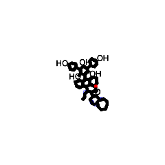 C=C/C=C(\c1c(C)oc(C2=C/CCCC/C=C\2)c1/C=C\C)c1c2ccccc2c(-c2c(O)c(-c3ccc(O)cc3)c(O)c(-c3ccc(O)cc3)c2O)c2ccccc12